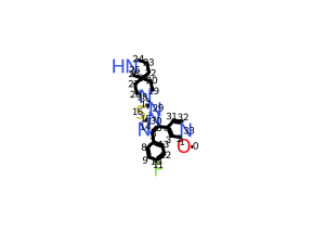 COc1cc(-c2c(-c3ccc(F)cc3)nc3sc(N4CCC5(CCCNC5)CC4)nn23)ccn1